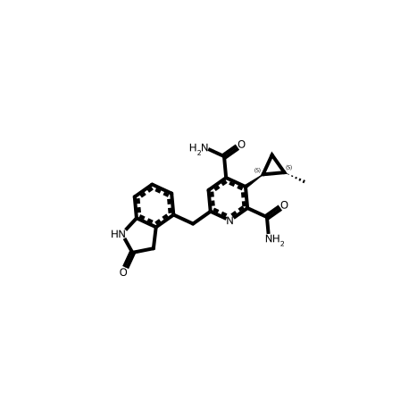 C[C@H]1C[C@@H]1c1c(C(N)=O)cc(Cc2cccc3c2CC(=O)N3)nc1C(N)=O